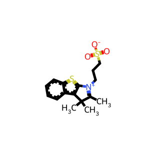 CC1=[N+](CCCS(=O)(=O)[O-])c2sc3ccccc3c2C1(C)C